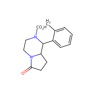 Cc1ccccc1C1C2CCC(=O)N2CCN1C(=O)O